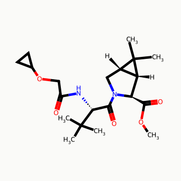 COC(=O)[C@@H]1[C@@H]2[C@H](CN1C(=O)[C@@H](NC(=O)COC1CC1)C(C)(C)C)C2(C)C